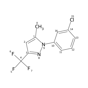 Cc1cc(C(F)(F)F)nn1-c1cccc(Cl)c1